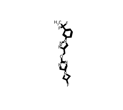 CC(F)(F)c1cccc(-n2cc(COc3ncc(N4CC(F)C4)cn3)nn2)c1